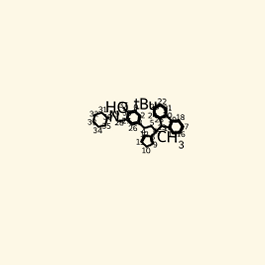 CC(C)(C)c1cc(CCC(C)(C2=CCC=C2)C2c3ccccc3-c3ccccc32)cc(/C=N/C2CCCCC2)c1O